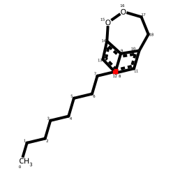 CCCCCCCCCc1c2cccc1OOCC2